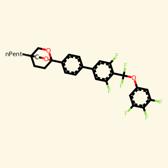 CCCCCC12CCC(c3ccc(-c4cc(F)c(C(F)(F)Oc5cc(F)c(F)c(F)c5)c(F)c4)cc3)(OC1)OC2